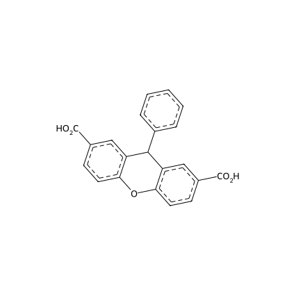 O=C(O)c1ccc2c(c1)C(c1ccccc1)c1cc(C(=O)O)ccc1O2